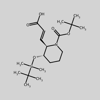 CC(C)(C)OC(=O)N1CCC[C@H](O[Si](C)(C)C(C)(C)C)[C@H]1C=CC(=O)O